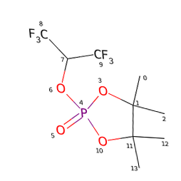 CC1(C)OP(=O)(OC(C(F)(F)F)C(F)(F)F)OC1(C)C